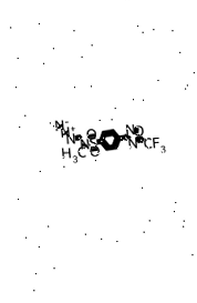 CN(CN=[N+]=[N-])S(=O)(=O)c1ccc(-c2noc(C(F)(F)F)n2)cc1